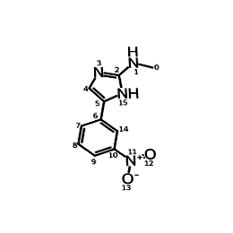 CNc1ncc(-c2cccc([N+](=O)[O-])c2)[nH]1